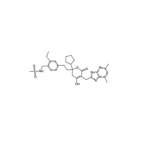 CCc1cc(CCC2(C3CCCC3)CC(O)=C(Cc3nc4nc(C)cc(C)n4n3)C(=O)O2)ccc1CNS(C)(=O)=O